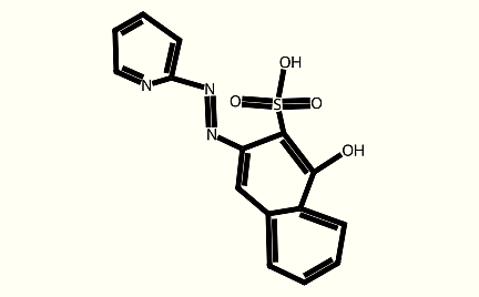 O=S(=O)(O)c1c(N=Nc2ccccn2)cc2ccccc2c1O